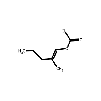 CCCC(C)=COC(=O)Cl